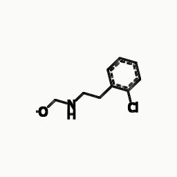 [O]CNCCc1ccccc1Cl